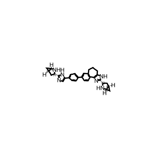 c1cc(-c2cnc([C@@H]3C[C@H]4C[C@H]4N3)[nH]2)ccc1-c1ccc2c(c1)CCCc1[nH]c([C@@H]3C[C@H]4C[C@H]4N3)nc1-2